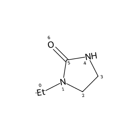 C[CH]N1CCNC1=O